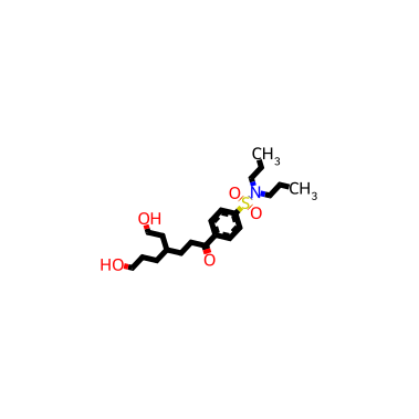 CCCN(CCC)S(=O)(=O)c1ccc(C(=O)CCC(CCO)CCCO)cc1